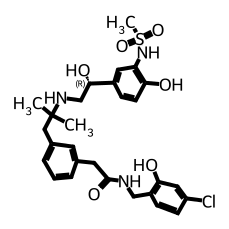 CC(C)(Cc1cccc(CC(=O)NCc2ccc(Cl)cc2O)c1)NC[C@H](O)c1ccc(O)c(NS(C)(=O)=O)c1